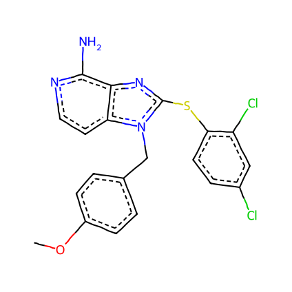 COc1ccc(Cn2c(Sc3ccc(Cl)cc3Cl)nc3c(N)nccc32)cc1